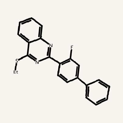 CCSc1nc(-c2ccc(-c3ccccc3)cc2F)nc2ccccc12